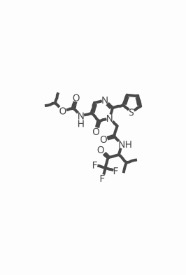 CC(C)OC(=O)Nc1cnc(-c2cccs2)n(CC(=O)NC(C(=O)C(F)(F)F)C(C)C)c1=O